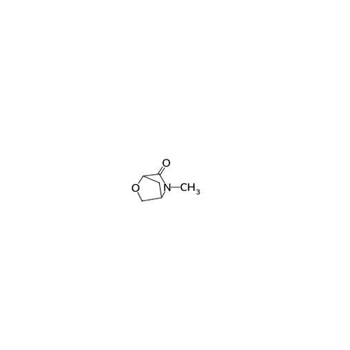 CN1C(=O)C2CC1CO2